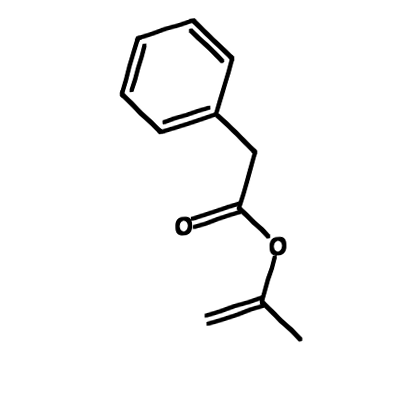 C=C(C)OC(=O)Cc1ccccc1